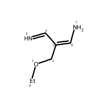 CCOC/C(C=N)=C/N